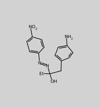 CCC(O)(Cc1ccc(N)cc1)N=Nc1ccc([N+](=O)[O-])cc1